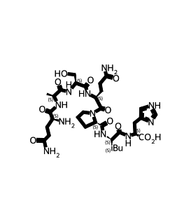 CC[C@H](C)[C@H](NC(=O)[C@@H]1CCCN1C(=O)[C@H](CCC(N)=O)NC(=O)[C@H](CO)NC(=O)[C@H](C)NC(=O)[C@@H](N)CCC(N)=O)C(=O)N[C@@H](Cc1c[nH]cn1)C(=O)O